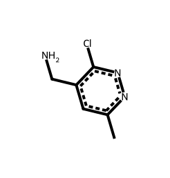 Cc1cc(CN)c(Cl)nn1